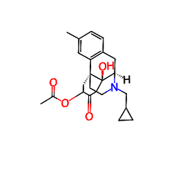 CC(=O)OC1C[C@]23CCN(CC4CC4)[C@H](Cc4ccc(C)cc42)[C@]3(O)CC1=O